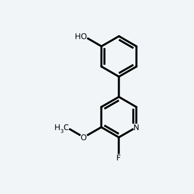 COc1cc(-c2cccc(O)c2)cnc1F